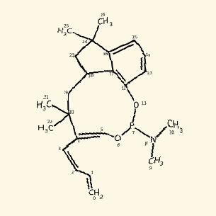 C=C/C=C\C1=C/OP(N(C)C)Oc2cccc3c2C(CC1(C)C)CC3(C)C